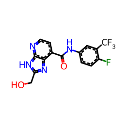 O=C(Nc1ccc(F)c(C(F)(F)F)c1)c1ccnc2[nH]c(CO)nc12